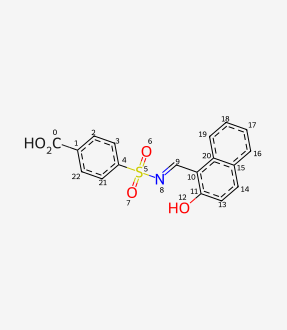 O=C(O)c1ccc(S(=O)(=O)/N=C/c2c(O)ccc3ccccc23)cc1